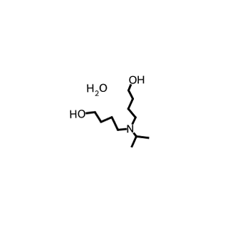 CC(C)N(CCCCO)CCCCO.O